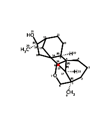 C[C@]12CCC[C@@]3(COC1)[C@@H]1CCC4CC1(CC[C@H]23)C[C@@]4(C)O